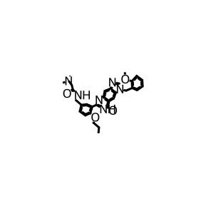 CCCOc1ccc(CNC(=O)CN(C)C)cc1-c1nc2cc3ncn(Cc4ccccc4OC)c3cc2c(=O)[nH]1